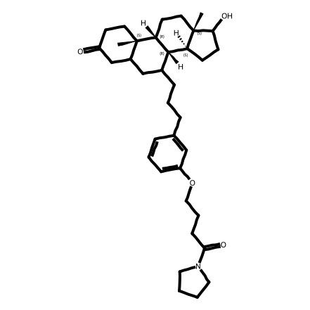 C[C@]12CCC(=O)CC1CC(CCCc1cccc(OCCCC(=O)N3CCCC3)c1)[C@@H]1[C@H]2CC[C@]2(C)C(O)CC[C@@H]12